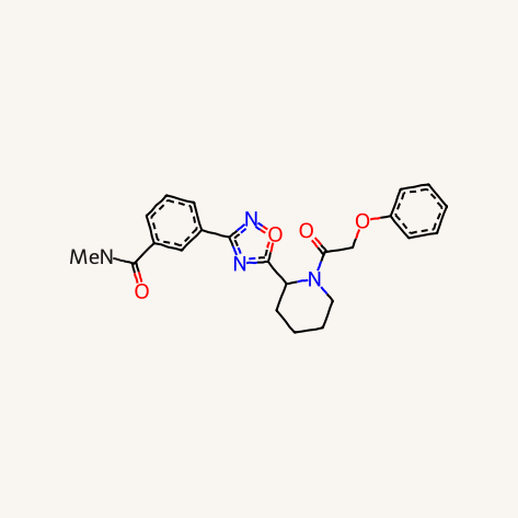 CNC(=O)c1cccc(-c2noc(C3CCCCN3C(=O)COc3ccccc3)n2)c1